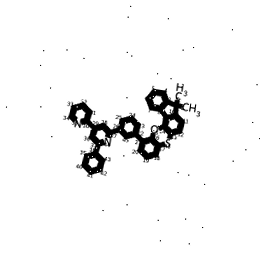 CC1(C)c2ccccc2-c2c1ccc1c2Oc2c(cccc2-c2cccc(-c3cc(-c4ccccn4)cc(-c4ccccc4)n3)c2)S1